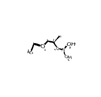 CC(=O)COC[C@@H](C)ON(O)O